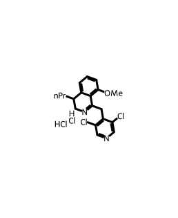 CCCC1CN=C(Cc2c(Cl)cncc2Cl)c2c(OC)cccc21.Cl.Cl